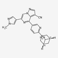 Cn1cc(-c2cn3ncc(C#N)c3c(-c3ccc(N4C[C@H]5C[C@@H](C4)C5N)nc3)n2)cn1